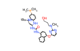 CN(CCCO)c1nccc(Oc2ccc(NC(=O)N/C(=C/C(=N)C(C)(C)C)Nc3ccc(P(C)C)cc3)c3ccccc23)n1